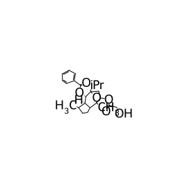 CC1CCC2[C@@H]1[C@H](OC(=O)c1ccccc1)C1(C(C)C)CC(OC(=O)CO)C2(C)O1